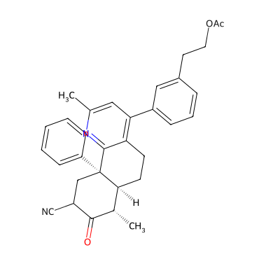 CC(=O)OCCc1cccc(-c2cc(C)nc3c2CC[C@H]2[C@H](C)C(=O)C(C#N)C[C@@]32c2ccccc2)c1